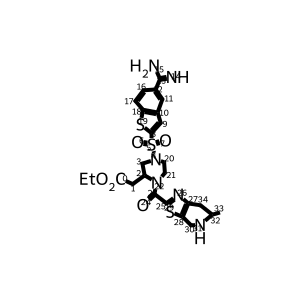 CCOC(=O)CC1CN(S(=O)(=O)c2cc3cc(C(=N)N)ccc3s2)CCN1C(=O)c1nc2c(s1)CNC(C)C2